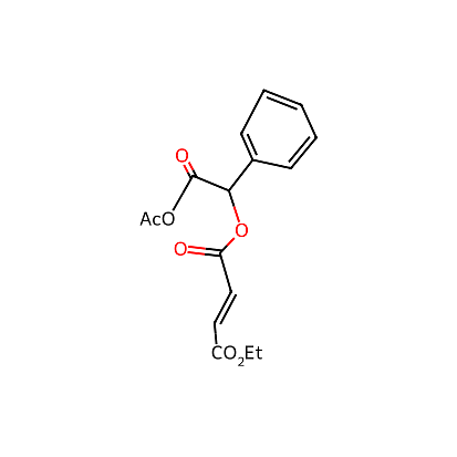 CCOC(=O)/C=C/C(=O)OC(C(=O)OC(C)=O)c1ccccc1